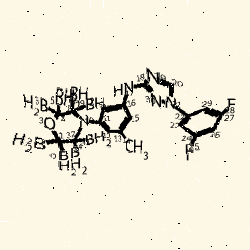 BC1(B)OC(B)(B)C(B)(B)N(c2cc(C)cc(Nc3ncn(-c4cc(F)cc(F)c4)n3)c2)C1(B)B